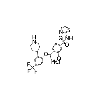 Cl.O=S(=O)(Nc1nccs1)c1ccc2c(c1)OCCC2Oc1ccc(C(F)(F)F)cc1C1CCNCC1